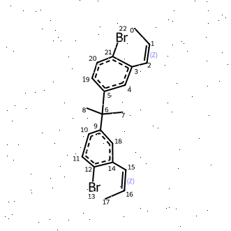 C/C=C\c1cc(C(C)(C)c2ccc(Br)c(/C=C\C)c2)ccc1Br